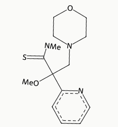 CNC(=S)C(CN1CCOCC1)(OC)c1ccccn1